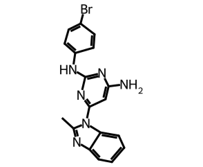 Cc1nc2ccccc2n1-c1cc(N)nc(Nc2ccc(Br)cc2)n1